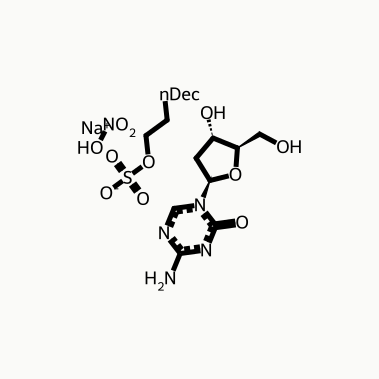 CCCCCCCCCCCCOS(=O)(=O)[O-].Nc1ncn([C@H]2C[C@H](O)[C@@H](CO)O2)c(=O)n1.O=[N+]([O-])O.[Na+]